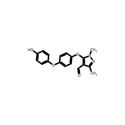 Cc1nn(C)c(Oc2ccc(Oc3ccc(O)cc3)cc2)c1C=O